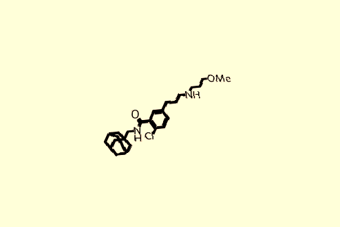 COCCCNCCCc1ccc(Cl)c(C(=O)NCC23CC4CC(CC(C4)C2)C3)c1